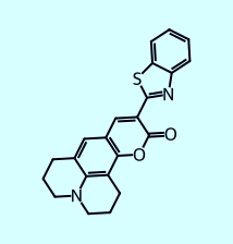 O=c1oc2c3c4c(cc2cc1-c1nc2ccccc2s1)CCCN4CCC3